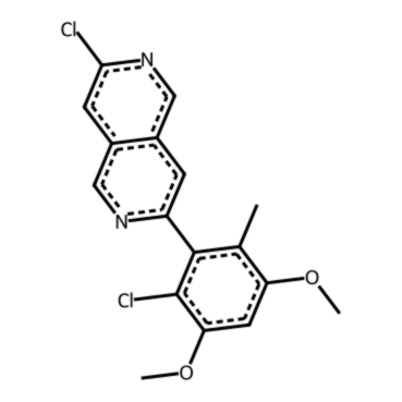 COc1cc(OC)c(Cl)c(-c2cc3cnc(Cl)cc3cn2)c1C